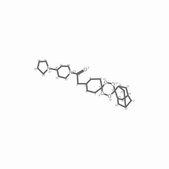 O=C(CC1CCC2(CC1)OOC1(OO2)C2CC3CC(C2)CC1C3)N1CCC(N2CCCC2)CC1